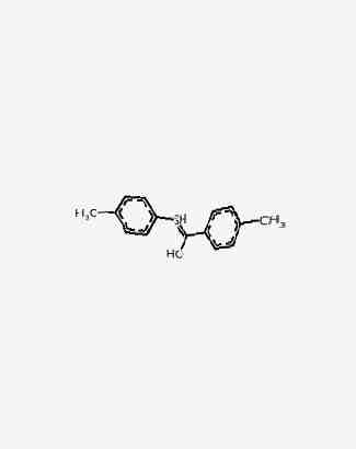 Cc1ccc([SH]=C(O)c2ccc(C)cc2)cc1